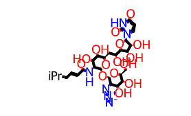 CC(C)C/C=C/C(=O)N[C@@H]1C(O)C(O)[C@@H](C[C@@H](O)C2O[C@@H](n3ccc(=O)[nH]c3=O)[C@H](O)[C@@H]2O)O[C@H]1O[C@H]1O[C@@H](CO)[C@@H](O)C(O)C1N=[N+]=[N-]